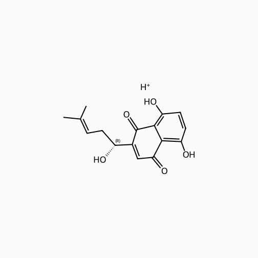 CC(C)=CC[C@@H](O)C1=CC(=O)c2c(O)ccc(O)c2C1=O.[H+]